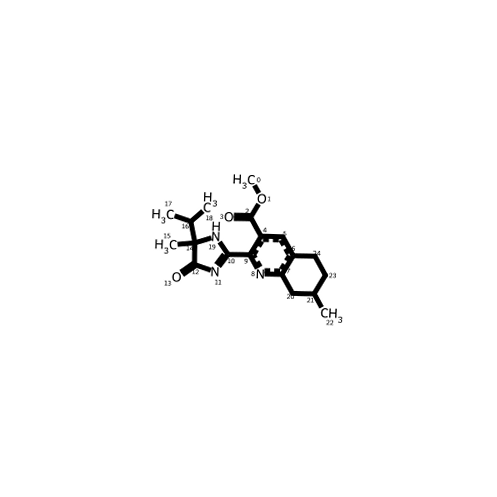 COC(=O)c1cc2c(nc1C1=NC(=O)C(C)(C(C)C)N1)CC(C)CC2